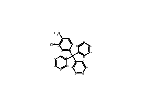 Nc1ccc(C(c2ccccc2)(c2ccccc2)c2ccccc2)cc1Cl